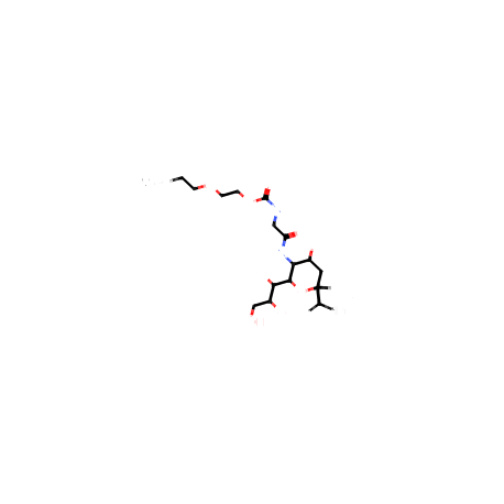 COCCOCCOC(=O)NCC(=O)NC1C(O)CC(C(=O)O)(C(C(C)C)C(C)C)OC1C(O)C(O)CO